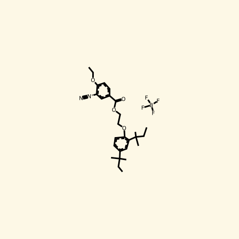 CCOc1ccc(C(=O)OCCOc2ccc(C(C)(C)CC)cc2C(C)(C)CC)cc1[N+]#N.F[B-](F)(F)F